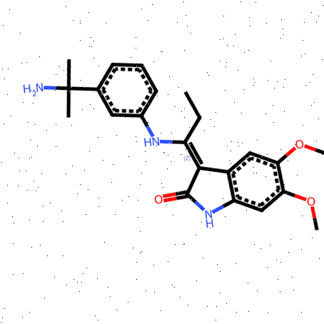 CC/C(Nc1cccc(C(C)(C)N)c1)=C1/C(=O)Nc2cc(OC)c(OC)cc21